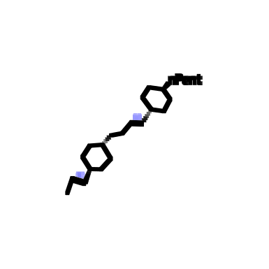 C/C=C/[C@H]1CC[C@H](CC/C=C/[C@H]2CC[C@H](CCCCC)CC2)CC1